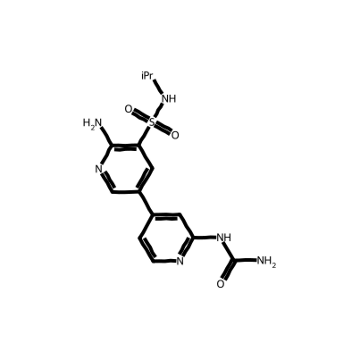 CC(C)NS(=O)(=O)c1cc(-c2ccnc(NC(N)=O)c2)cnc1N